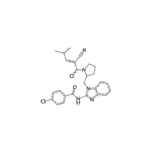 CC(C)C=C(C#N)C(=O)N1CCCC1Cn1c(NC(=O)c2ccc(Cl)cc2)nc2ccccc21